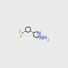 Nc1ccc(-c2cccc(C(F)F)c2)cn1